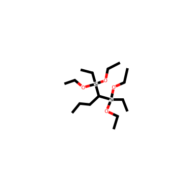 CCCC([Si](CC)(OCC)OCC)[Si](CC)(OCC)OCC